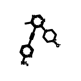 Cc1ncnc(N2CC[S+]([O-])CC2)c1C#Cc1ccc(N)nc1